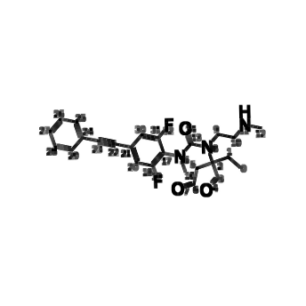 CCC(C=O)(CC=O)N(CCNC)C(=O)N(C)c1c(F)cc(C#Cc2ccccc2)cc1F